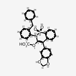 O=C(O)OC1=C(c2ccc3c(c2)OCO3)c2ccccc2S(=O)(=O)N1c1ccccc1Cc1ccccc1